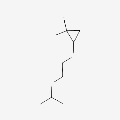 CC(C)OCCOC1CC1(F)F